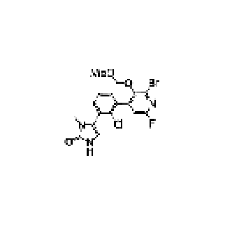 COCOc1c(-c2cccc(-c3c[nH]c(=O)n3C)c2Cl)cc(F)nc1Br